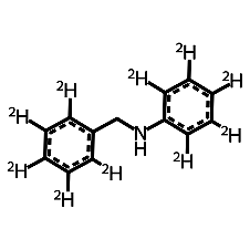 [2H]c1c([2H])c([2H])c(CNc2c([2H])c([2H])c([2H])c([2H])c2[2H])c([2H])c1[2H]